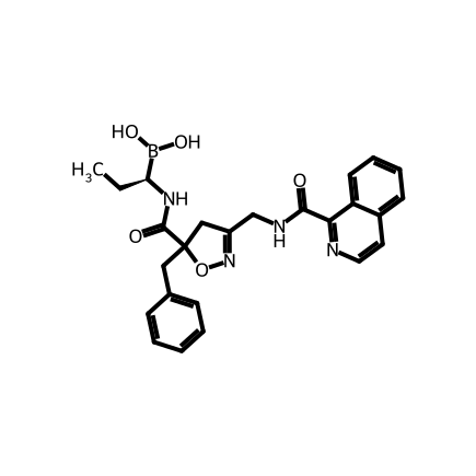 CC[C@H](NC(=O)C1(Cc2ccccc2)CC(CNC(=O)c2nccc3ccccc23)=NO1)B(O)O